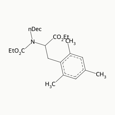 CCCCCCCCCCN(C(=O)OCC)C(Cc1c(C)cc(C)cc1C)C(=O)OCC